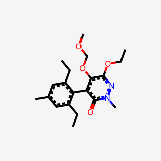 CCOc1nn(C)c(=O)c(-c2c(CC)cc(C)cc2CC)c1OCOC